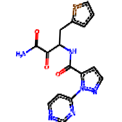 NC(=O)C(=O)C(Cc1cccs1)NC(=O)c1ccnn1-c1ccncn1